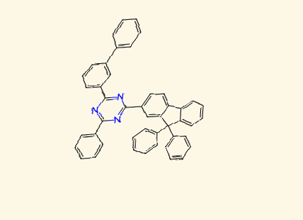 c1ccc(-c2cccc(-c3nc(-c4ccccc4)nc(-c4ccc5c(c4)C(c4ccccc4)(c4ccccc4)c4ccccc4-5)n3)c2)cc1